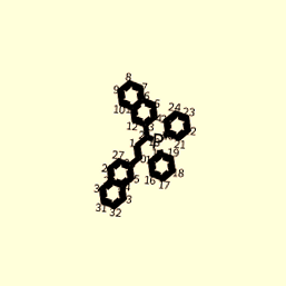 C(=CC(c1ccc2ccccc2c1)P(c1ccccc1)c1ccccc1)c1ccc2ccccc2c1